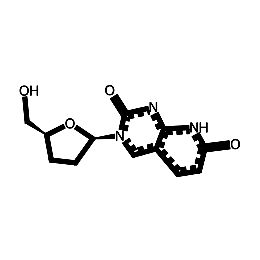 O=c1ccc2cn([C@H]3CC[C@@H](CO)O3)c(=O)nc2[nH]1